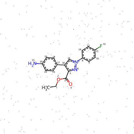 CCOC(=O)c1nn(-c2ccc(F)cc2)cc1-c1ccc(N)cc1